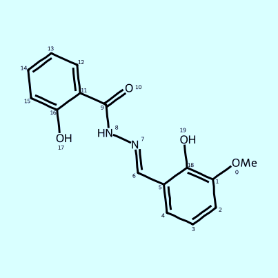 COc1cccc(C=NNC(=O)c2ccccc2O)c1O